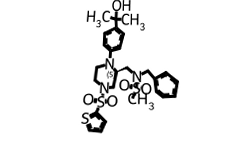 CC(C)(O)c1ccc(N2CCN(S(=O)(=O)c3cccs3)C[C@@H]2CN(Cc2ccccc2)S(C)(=O)=O)cc1